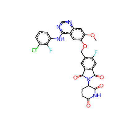 COc1cc2ncnc(Nc3cccc(Cl)c3F)c2cc1OCc1cc2c(cc1F)C(=O)N(C1CCC(=O)NC1=O)C2=O